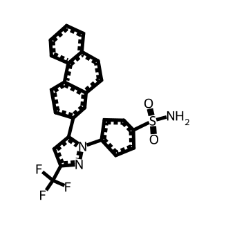 NS(=O)(=O)c1ccc(-n2nc(C(F)(F)F)cc2-c2ccc3c(ccc4ccccc43)c2)cc1